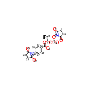 CC(C)C(OC(=O)ON1C(=O)CCC1=O)OC(=O)c1ccc(N2C(=O)C=CC2=O)cc1